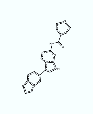 O=C(Nc1ccc2c(-c3ccc4nccn4c3)c[nH]c2n1)c1ccncc1